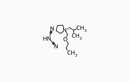 CCCOC[N+]1(CC(C)C)CCCC1.N#CNC#N